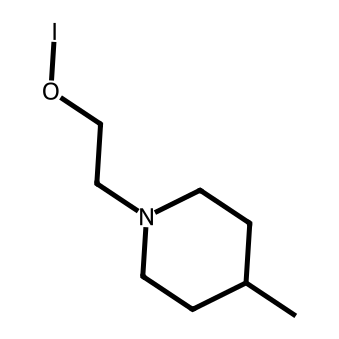 CC1CCN(CCOI)CC1